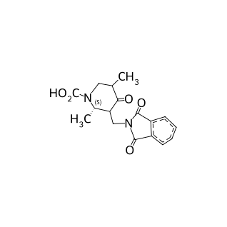 CC1CN(C(=O)O)[C@@H](C)C(CN2C(=O)c3ccccc3C2=O)C1=O